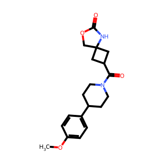 COc1ccc(C2CCN(C(=O)C3CC4(COC(=O)N4)C3)CC2)cc1